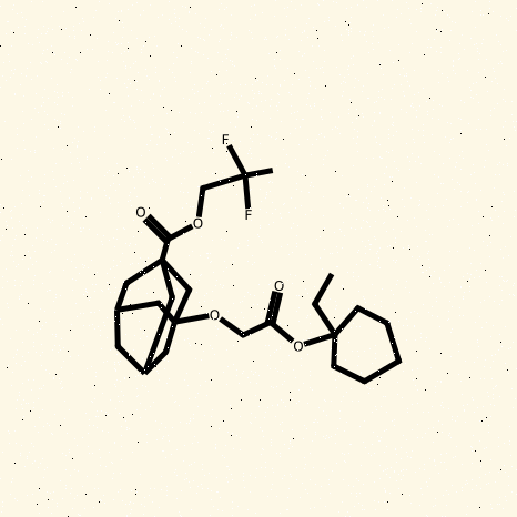 CCC1(OC(=O)COC23CC4CC(C2)CC(C(=O)OCC(C)(F)F)(C4)C3)CCCCC1